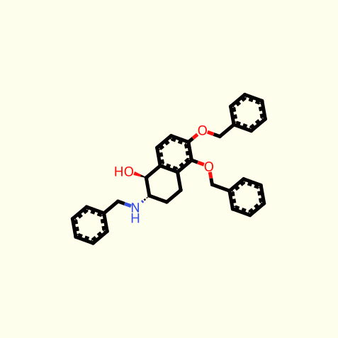 O[C@H]1c2ccc(OCc3ccccc3)c(OCc3ccccc3)c2CC[C@@H]1NCc1ccccc1